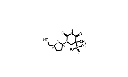 CC1(P(=O)(O)O)CN([C@H]2CC[C@@H](CO)O2)C(=O)NC1=O